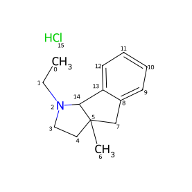 CCN1CCC2(C)Cc3ccccc3C12.Cl